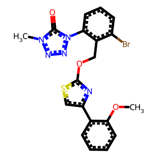 COc1ccccc1-c1csc(OCc2c(Br)cccc2-n2nnn(C)c2=O)n1